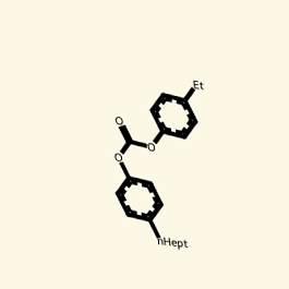 CCCCCCCc1ccc(OC(=O)Oc2ccc(CC)cc2)cc1